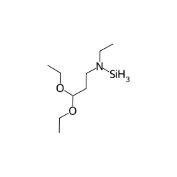 CCOC(CCN([SiH3])CC)OCC